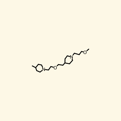 COCCCN1CCC(CCOCCN2CCC(C)CC2)CC1